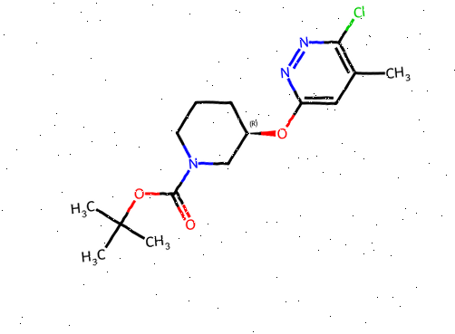 Cc1cc(O[C@@H]2CCCN(C(=O)OC(C)(C)C)C2)nnc1Cl